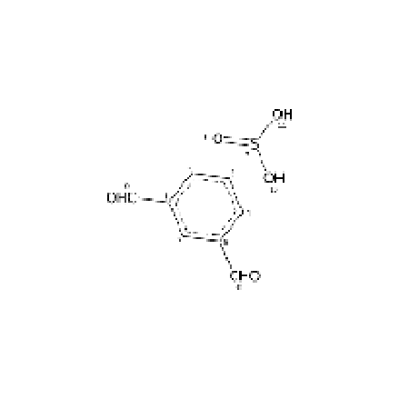 O=Cc1cccc(C=O)c1.O=S(O)O